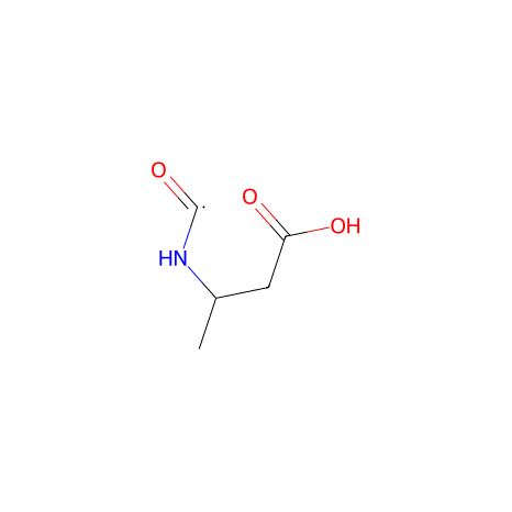 CC(CC(=O)O)N[C]=O